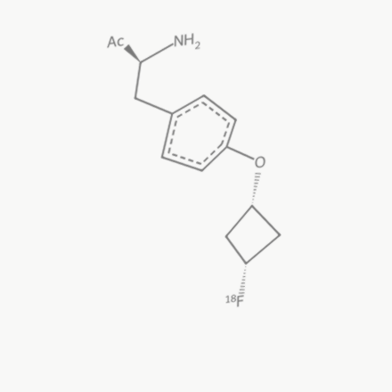 CC(=O)[C@@H](N)Cc1ccc(O[C@H]2C[C@@H]([18F])C2)cc1